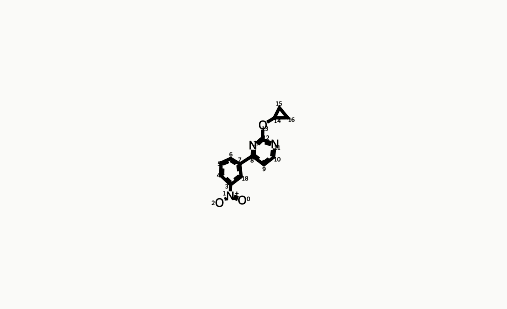 O=[N+]([O-])c1cccc(-c2ccnc(OC3CC3)n2)c1